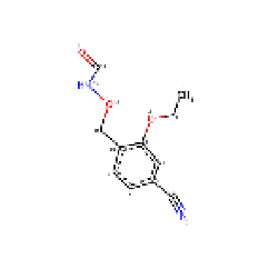 CCOc1cc(C#N)ccc1CONC=O